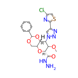 COC1C(n2cc(-c3nc(Cl)cs3)nn2)[C@H]2OC(c3ccccc3)OCC2O[C@H]1C(=O)NN